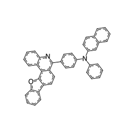 c1ccc(N(c2ccc(-c3nc4ccccc4c4c3ccc3c5ccccc5oc34)cc2)c2ccc3ccccc3c2)cc1